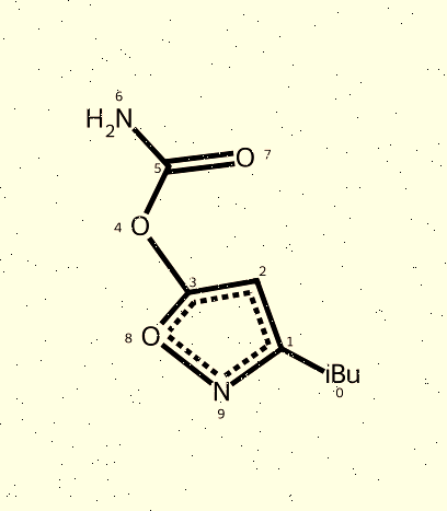 CCC(C)c1cc(OC(N)=O)on1